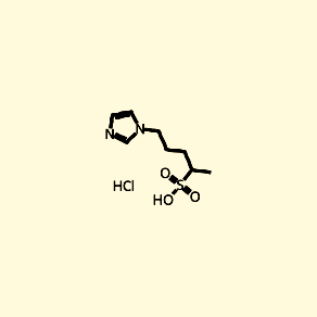 CC(CCCn1ccnc1)S(=O)(=O)O.Cl